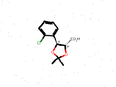 CC1(C)O[C@@H](C(=O)O)[C@H](c2ccccc2Cl)O1